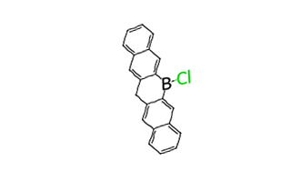 ClB1c2cc3ccccc3cc2Cc2cc3ccccc3cc21